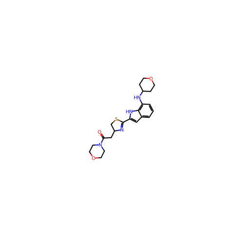 O=C(CC1CSC(c2cc3cccc(NC4CCOCC4)c3[nH]2)=N1)N1CCOCC1